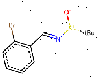 CC(C)(C)[S@@+]([O-])N=Cc1ccccc1Br